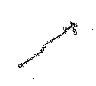 Cc1sc2c(c1C)C(c1ccc(Cl)cc1)=N[C@@H](CC(=O)Nc1ccc(OCCOCCOCCOCCOCCOCCN3CCC(N4CCN(CCOCCOCCOCCOCCOCCNC(=O)OC(C)(C)C)CC4)CC3)cc1)c1nnc(C)n1-2